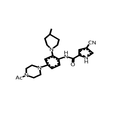 CC(=O)N1CCN(c2ccc(NC(=O)c3cc(C#N)c[nH]3)c(N3CCC(C)CC3)c2)CC1